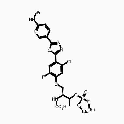 CC(C)Nc1ccc(-c2nnc(-c3cc(F)c(OC[C@H](NC(=O)O)[C@H](C)OP(=O)(OC(C)(C)C)OC(C)(C)C)cc3Cl)s2)cn1